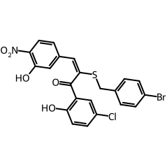 O=C(/C(=C\c1ccc([N+](=O)[O-])c(O)c1)SCc1ccc(Br)cc1)c1cc(Cl)ccc1O